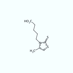 Cc1csc(=S)n1CCCCC(=O)O